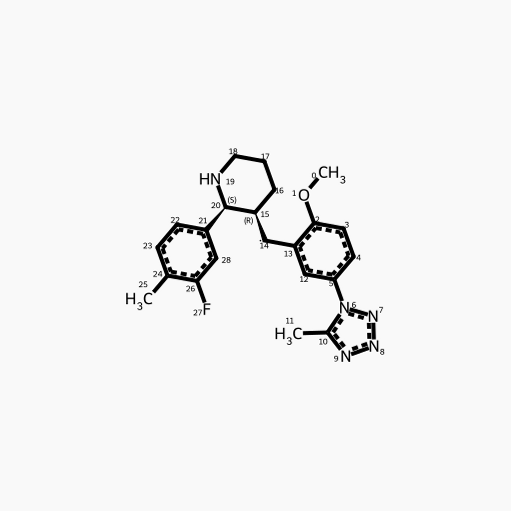 COc1ccc(-n2nnnc2C)cc1[CH][C@@H]1CCCN[C@@H]1c1ccc(C)c(F)c1